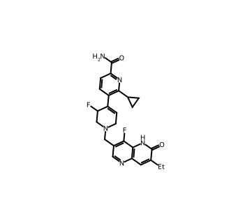 CCc1cc2ncc(CN3CC=C(c4ccc(C(N)=O)nc4C4CC4)C(F)C3)c(F)c2[nH]c1=O